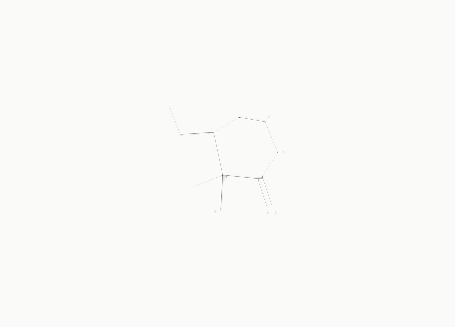 CCC1CCCC(=O)C1(C)C